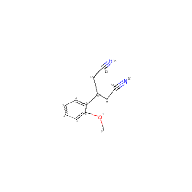 COc1ccccc1C(CC#N)CC#N